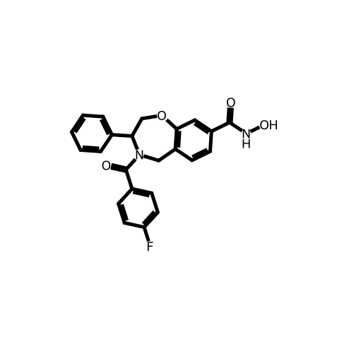 O=C(NO)c1ccc2c(c1)OCC(c1ccccc1)N(C(=O)c1ccc(F)cc1)C2